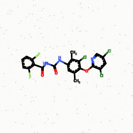 Cc1cc(NC(=O)NC(=O)c2c(F)cccc2F)c(C)c(Cl)c1Oc1ncc(Cl)cc1Cl